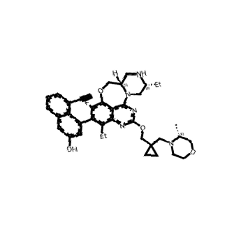 C#Cc1cccc2cc(O)cc(-c3c(F)c4c5c(nc(OCC6(CN7CCOC[C@H]7C)CC6)nc5c3CC)N3C[C@@H](CC)NC[C@H]3CO4)c12